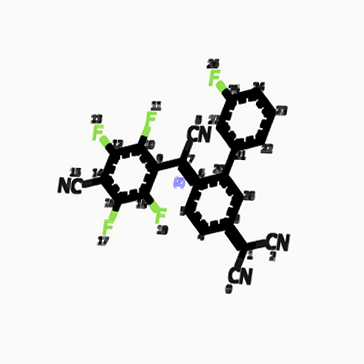 N#CC(C#N)=c1cc/c(=C(/C#N)c2c(F)c(F)c(C#N)c(F)c2F)c(-c2cccc(F)c2)c1